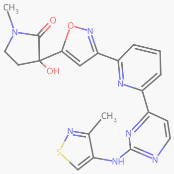 Cc1nscc1Nc1nccc(-c2cccc(-c3cc(C4(O)CCN(C)C4=O)on3)n2)n1